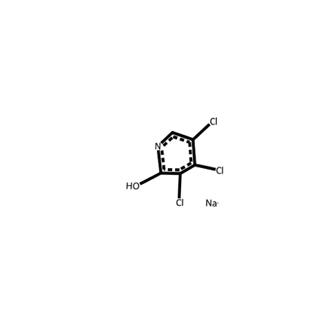 Oc1ncc(Cl)c(Cl)c1Cl.[Na]